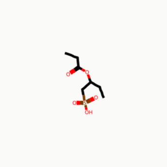 CCC(=O)OC(CC)CS(=O)(=O)O